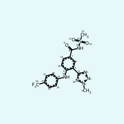 Cn1nnc(-c2cc(C(=O)NS(C)(=O)=O)ccc2Nc2ccc(C(F)(F)F)cc2)n1